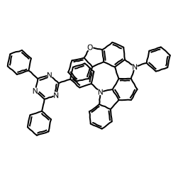 c1ccc(-c2nc(-c3ccccc3)nc(-c3cccc(-n4c5ccccc5c5ccc6c(c7c8c(ccc7n6-c6ccccc6)oc6ccccc68)c54)c3)n2)cc1